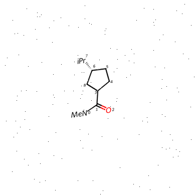 CNC(=O)C1CC[C@@H](C(C)C)C1